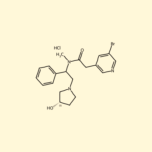 CN(C(=O)Cc1cncc(Br)c1)C(CN1CC[C@H](O)C1)c1ccccc1.Cl